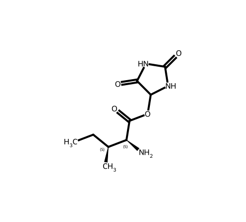 CC[C@H](C)[C@H](N)C(=O)OC1NC(=O)NC1=O